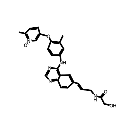 Cc1cc(Nc2ncnc3ccc(C=CCNC(=O)CO)cc23)ccc1Oc1ccc(C)[n+]([O-])c1